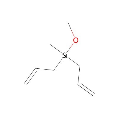 C=CC[Si](C)(CC=C)OC